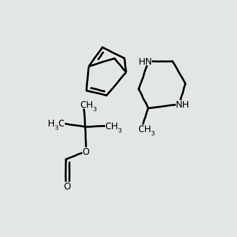 C1=CC2=CC=C1C2.CC(C)(C)OC=O.CC1CNCCN1